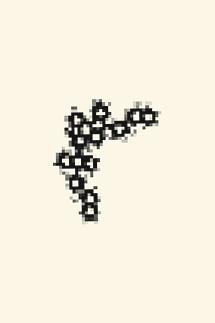 c1ccc2c(c1)ccc1c3cc(-c4c5ccccc5c(-c5ccc6c(c5)oc5cccc(-c7c8ccccc8c(-c8ccc9oc%10c%11ccccc%11ccc%10c9c8)c8ccccc78)c56)c5ccccc45)ccc3oc21